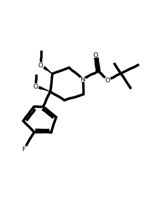 CO[C@H]1CN(C(=O)OC(C)(C)C)CC[C@]1(OC)c1ccc(F)cc1